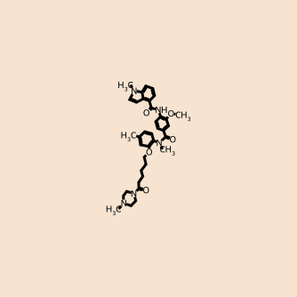 COc1cc(C(=O)N(C)c2ccc(C)cc2OCCCCCC(=O)N2CCN(C)CC2)ccc1NC(=O)c1cccc2c1ccn2C